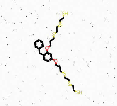 SCCSCCSCCCOc1ccc(Cc2ccccc2)c(OCCCSCCSCCS)c1